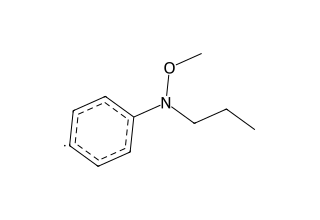 CCCN(OC)c1cc[c]cc1